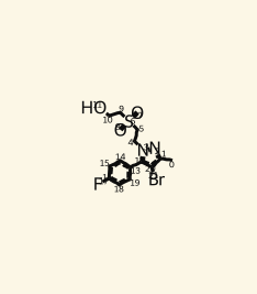 Cc1nn(CCS(=O)(=O)CCO)c(-c2ccc(F)cc2)c1Br